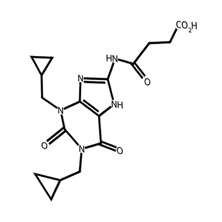 O=C(O)CCC(=O)Nc1nc2c([nH]1)c(=O)n(CC1CC1)c(=O)n2CC1CC1